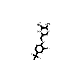 CC(F)(F)C1CCC(SCC2CNC(O)C(O)N2)C(F)C1